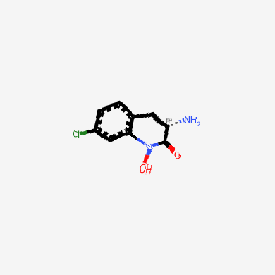 N[C@H]1Cc2ccc(Cl)cc2N(O)C1=O